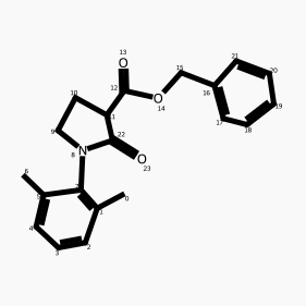 Cc1cccc(C)c1N1CCC(C(=O)OCc2ccccc2)C1=O